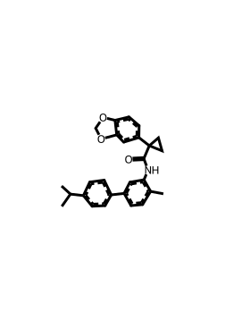 Cc1ccc(-c2ccc(C(C)C)cc2)cc1NC(=O)C1(c2ccc3c(c2)OCO3)CC1